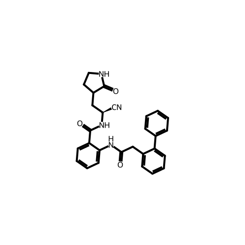 N#C[C@H](CC1CCNC1=O)NC(=O)c1ccccc1NC(=O)Cc1ccccc1-c1ccccc1